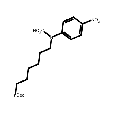 CCCCCCCCCCCCCCCCN(C(=O)O)c1ccc([N+](=O)[O-])cc1